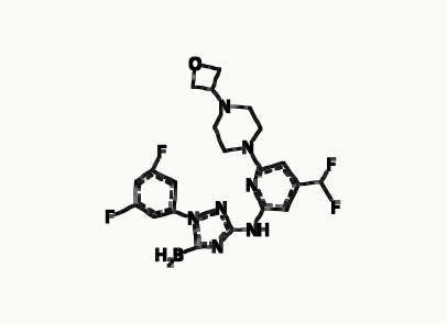 Bc1nc(Nc2cc(C(F)F)cc(N3CCN(C4COC4)CC3)n2)nn1-c1cc(F)cc(F)c1